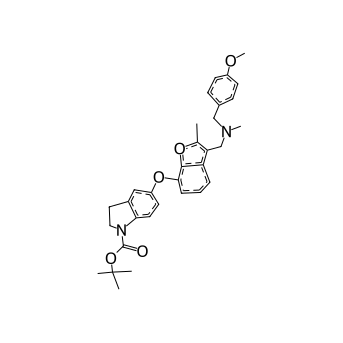 COc1ccc(CN(C)Cc2c(C)oc3c(Oc4ccc5c(c4)CCN5C(=O)OC(C)(C)C)cccc23)cc1